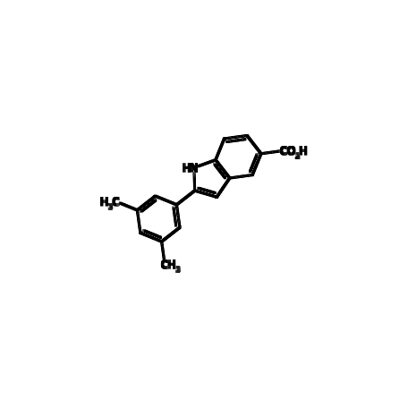 Cc1cc(C)cc(-c2cc3cc(C(=O)O)ccc3[nH]2)c1